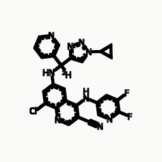 [2H]C(Nc1cc(Cl)c2ncc(C#N)c(Nc3cnc(F)c(F)c3)c2c1)(c1cccnc1)c1cn(C2CC2)nn1